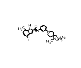 COCC1(N(C)C)CCN(c2cccc(NC(=O)c3cc4c(F)ccc(C)c4[nH]3)c2)CC1